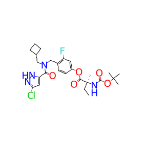 CC[C@](C)(NC(=O)OC(C)(C)C)C(=O)Oc1ccc(CN(CC2CCC2)C(=O)c2cc(Cl)n[nH]2)c(F)c1